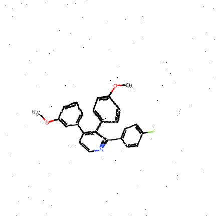 COc1ccc(-c2c(-c3cccc(OC)c3)ccnc2-c2ccc(F)cc2)cc1